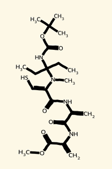 C=C(NC(=O)/C(=C/S)N(C)C(CC)(CC)NC(=O)OC(C)(C)C)C(=O)NC(=C)C(=O)OC